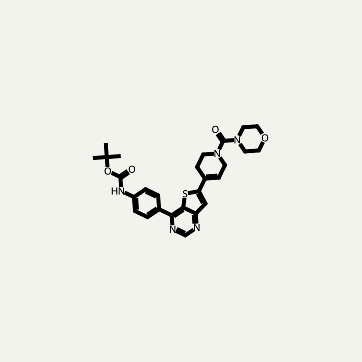 CC(C)(C)OC(=O)Nc1ccc(-c2ncnc3cc(C4=CCN(C(=O)N5CCOCC5)CC4)sc23)cc1